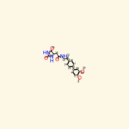 COc1ccc(-c2ccc(C(C)CNC(=O)CC3NC(=O)NC3=O)cc2)cc1OC